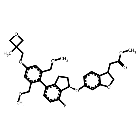 COCc1cc(OCC2(C)COC2)cc(COC)c1-c1ccc(F)c2c1CC[C@H]2Oc1ccc2c(c1)OCC2CC(=O)OC